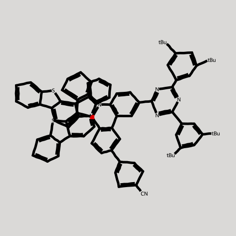 CC(C)(C)c1cc(-c2nc(-c3cc(C(C)(C)C)cc(C(C)(C)C)c3)nc(-c3ccc(-n4c5ccccc5c5c6sc7ccccc7c6ccc54)c(-c4cc(-c5ccc(C#N)cc5)ccc4-n4c5ccccc5c5c6sc7ccccc7c6ccc54)c3)n2)cc(C(C)(C)C)c1